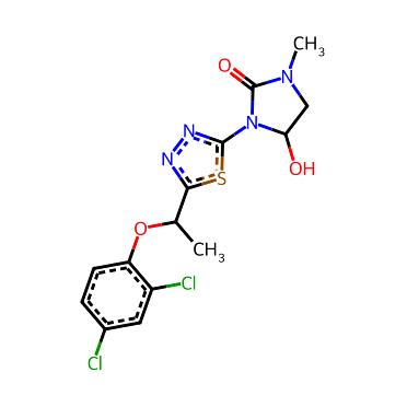 CC(Oc1ccc(Cl)cc1Cl)c1nnc(N2C(=O)N(C)CC2O)s1